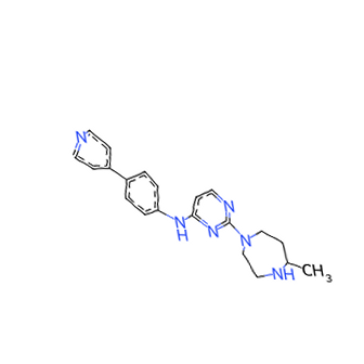 CC1CCN(c2nccc(Nc3ccc(-c4ccncc4)cc3)n2)CCN1